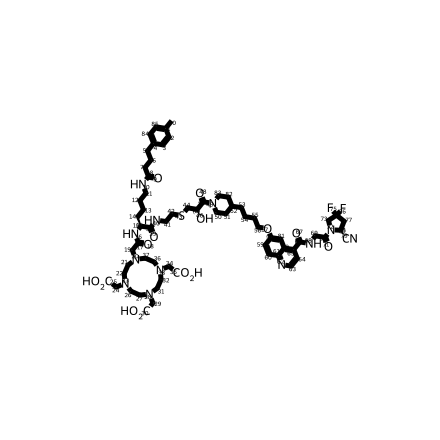 Cc1ccc(CCCC(=O)NCCCC[C@H](NC(=O)CN2CCN(CC(=O)O)CCN(CC(=O)O)CCN(CC(=O)O)CC2)C(=O)NCCSC[C@@H](O)C(=O)N2CCC(CCCCOc3ccc4nccc(C(=O)NCC(=O)N5CC(F)(F)C[C@@H]5C#N)c4c3)CC2)cc1